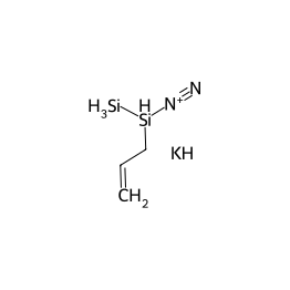 C=CC[SiH]([SiH3])[N+]#N.[KH]